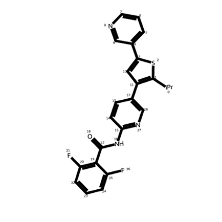 CC(C)c1sc(-c2cccnc2)cc1-c1ccc(NC(=O)c2c(F)cccc2F)nc1